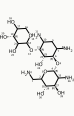 NCC1O[C@H](O[C@@H]2C(N)CC(N)[C@@H](OC3OCC(O)[C@@H](O)C3O)[C@H]2O)C(N)[C@@H](O)[C@@H]1O